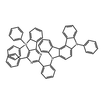 c1ccc(-c2nc(-c3ccccc3-n3c4ccccc4c4c5c6ccccc6n(-c6ccccc6)c5ccc43)nc3c2[Si](c2ccccc2)(c2ccccc2)c2ccccc2-3)cc1